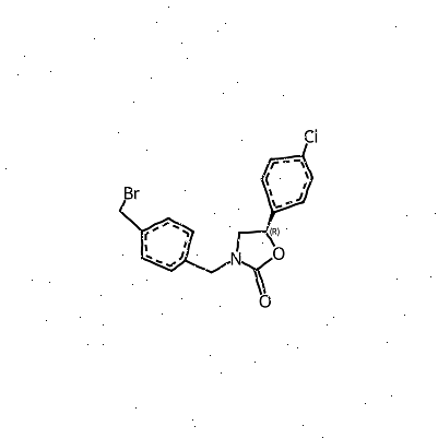 O=C1O[C@H](c2ccc(Cl)cc2)CN1Cc1ccc(CBr)cc1